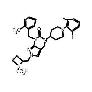 Cc1cccc(F)c1N1CCC(N2Cc3cn(CC4CCN4C(=O)O)nc3N(Cc3ccccc3C(F)(F)F)C2=O)CC1